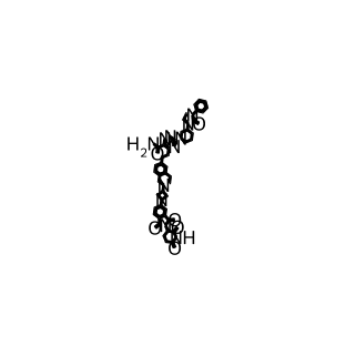 NC(=O)c1nnc(N2CCCC(N3CCN(c4ccccc4)C3=O)C2)nc1CCc1ccc2c(c1)CCN(C1CN(c3ccc4c(c3)C(=O)N(C3CCC(=O)NC3=O)C4=O)C1)C2